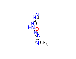 O=C(Cn1cnc(-c2ccnc(C(F)(F)F)c2)c1)Nc1ccc(-c2ccncn2)cn1